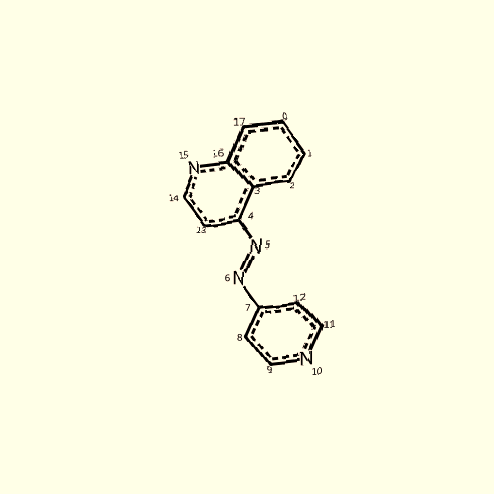 c1ccc2c(N=Nc3ccncc3)ccnc2c1